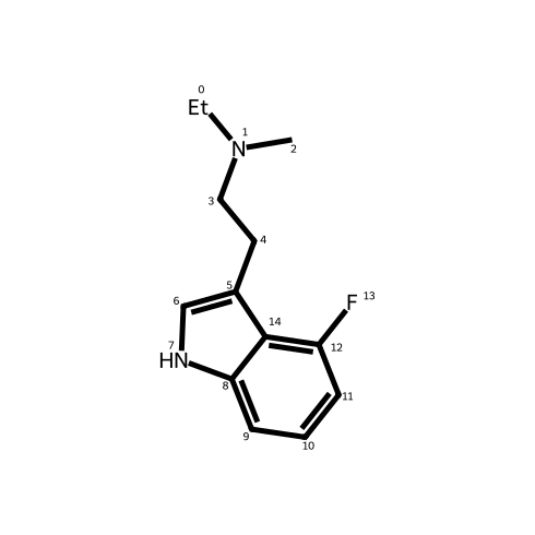 CCN(C)CCc1c[nH]c2cccc(F)c12